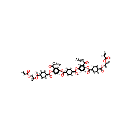 C=CC(=O)OCC(C)OC(=O)C1CCC(C(=O)Oc2ccc(OC(=O)C3CCC(C(=O)Oc4ccc(OC(=O)C5CCC(C(=O)OCC(C)OC(=O)C=C)CC5)c(C(=O)OC)c4)CC3)cc2C(=O)OC)CC1